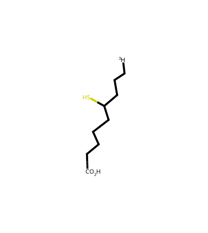 [3H]CCCC(S)CCCCC(=O)O